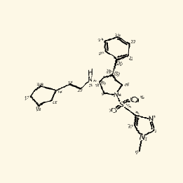 Cn1cnc(S(=O)(=O)N2C[C@H](NCCC3CCCC3)[C@@H](c3ccccc3)C2)c1